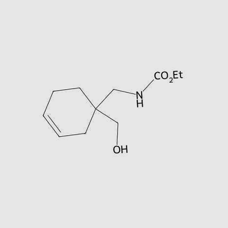 CCOC(=O)NCC1(CO)CC=CCC1